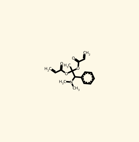 C=CC(=O)OC(C)(OC(=O)C=C)C(c1ccccc1)N(C)C